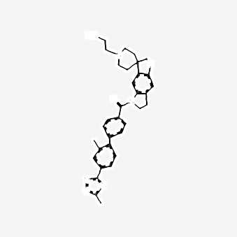 Cc1nc(-c2ccc(-c3ccc(C(=O)N4CCc5cc6c(cc54)C4(CCN(CCO)CC4)CO6)cc3)c(C)c2)no1